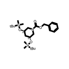 CC(C)(C)[Si](C)(C)O[C@@H]1C[C@@H](O[Si](C)(C)C(C)(C)C)CN(C(=O)OCc2ccccc2)C1